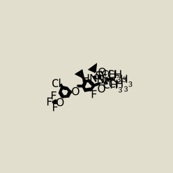 CC(C)(C)[Si](C)(C)N(C(=O)c1cc(C2CC2)c(COc2cc(Cl)cc(OC(F)(F)F)c2)cc1F)S(=N)(=O)C1CC1